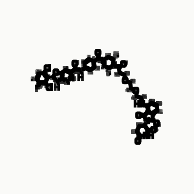 C[C@@H]1CN(C(=O)c2ccc(NC(=O)c3cc4c(nn3)N[C@H](c3c(Cl)ccc(F)c3Cl)O4)cc2)C[C@H](C)N1C(=O)CCOCCOCCNc1cccc2c1C(=O)N(C1CCC(=O)NC1=O)C2=O